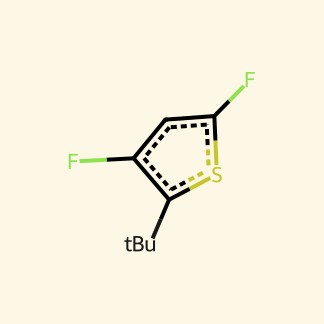 CC(C)(C)c1sc(F)cc1F